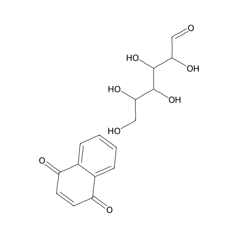 O=C1C=CC(=O)c2ccccc21.O=CC(O)C(O)C(O)C(O)CO